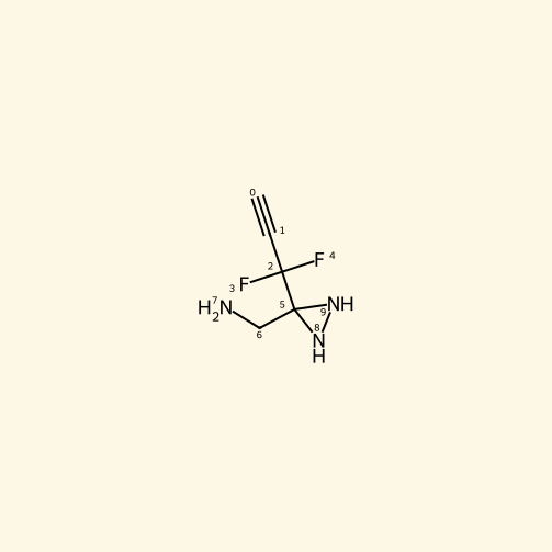 C#CC(F)(F)C1(CN)NN1